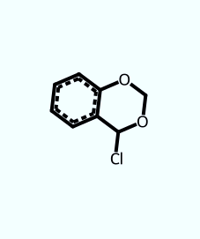 ClC1OCOc2ccccc21